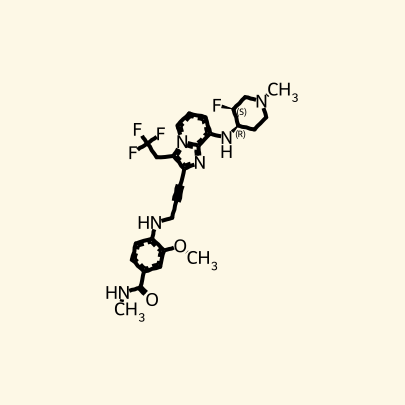 CNC(=O)c1ccc(NCC#Cc2nc3c(N[C@@H]4CCN(C)C[C@@H]4F)cccn3c2CC(F)(F)F)c(OC)c1